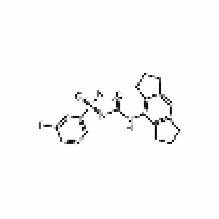 NS(=O)(=NC(=O)Nc1c2c(cc3c1CCC3)CCC2)c1cccc(F)c1